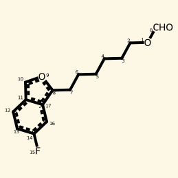 O=COCCCCCCc1occ2ccc(F)cc12